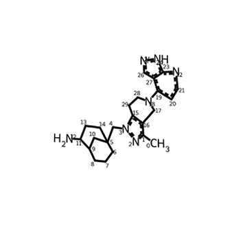 Cc1nn(CC23CCCC(C2)C(N)CC3)c2c1CN(c1ccnc3[nH]ncc13)CC2